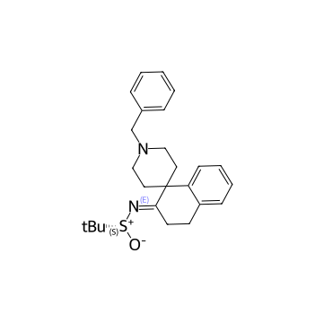 CC(C)(C)[S@@+]([O-])/N=C1\CCc2ccccc2C12CCN(Cc1ccccc1)CC2